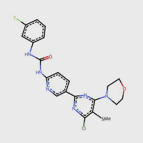 CSc1c(Cl)nc(-c2ccc(NC(=O)Nc3cccc(F)c3)nc2)nc1N1CCOCC1